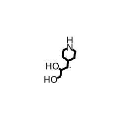 OCC(O)[CH]C1CCNCC1